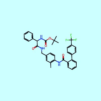 Cc1cc(CNC(=O)C(NC(=O)OC(C)(C)C)c2ccccc2)ccc1NC(=O)c1ccccc1-c1ccc(C(F)(F)F)cc1